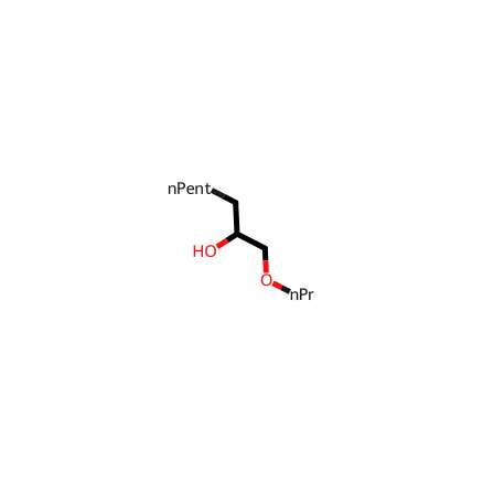 CCCCCCC(O)COCCC